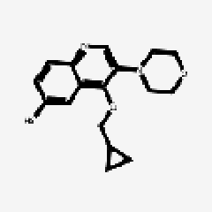 Sc1ccc2ncc(N3CCOCC3)c(OCC3CC3)c2c1